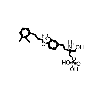 Cc1cccc(CCCOc2ccc(CCC(N)(CO)COP(=O)(O)O)cc2C(F)(F)F)c1C